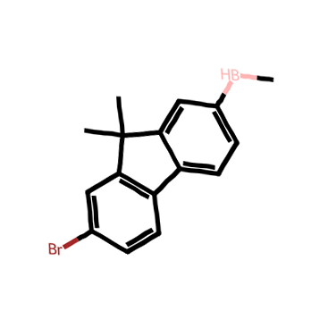 CBc1ccc2c(c1)C(C)(C)c1cc(Br)ccc1-2